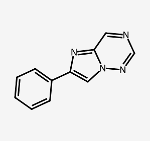 c1ccc(-c2cn3ncncc3n2)cc1